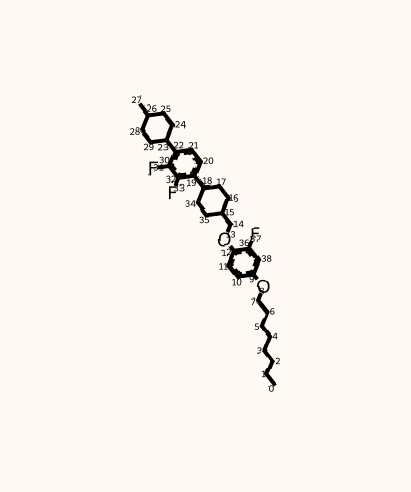 CCCCCCCCOc1ccc(OCC2CCC(c3ccc(C4CCC(C)CC4)c(F)c3F)CC2)c(F)c1